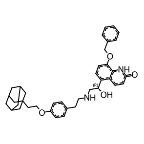 O=c1ccc2c([C@@H](O)CNCCc3ccc(OCCC45CC6CC(CC(C6)C4)C5)cc3)ccc(OCc3ccccc3)c2[nH]1